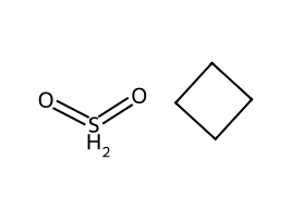 C1CCC1.O=[SH2]=O